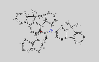 CC1(C)c2ccccc2-c2ccc(N(c3ccc4c(ccc5ccccc54)c3)c3ccccc3-c3cccc4c3C(C)(C)c3ccccc3-4)cc21